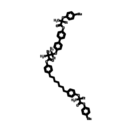 CCC(C)(Oc1ccc(CCCCCCCc2ccc(OC(=O)C(N)(CC)C(C)(CC)Oc3ccc(-c4ccc(OC(=O)C(C)(CC)Oc5ccc(C(C)(C)C)cc5)cc4)cc3)cc2)cc1)C(=O)Oc1ccc(C(C)(C)C)cc1